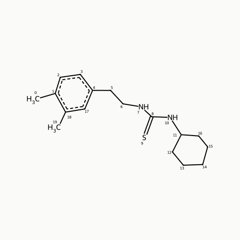 Cc1ccc(CCNC(=S)NC2CCCCC2)cc1C